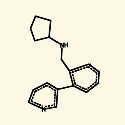 [c]1cccc(-c2cccnc2)c1CNC1CCCC1